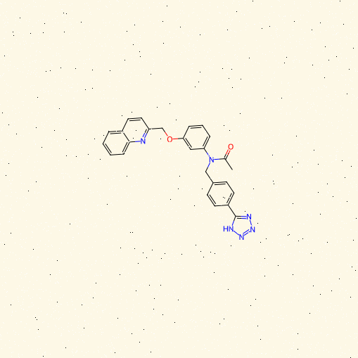 CC(=O)N(Cc1ccc(-c2nnn[nH]2)cc1)c1cccc(OCc2ccc3ccccc3n2)c1